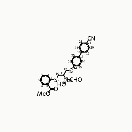 COC(=O)c1ccccc1SCC(COc1ccc(-c2ccc(C#N)cc2)cc1)N(O)C=O